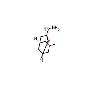 C[C@]12C[C@H]3C[C@@H](C1)C[C@](NN)(C3)O2